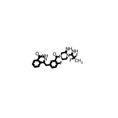 CC(F)(F)C(=N)N1CCN(C(=O)c2cc(Cc3n[nH]c(=O)c4ccccc34)ccc2F)CC1=N